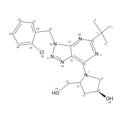 CC(C)(C)c1nc(N2C[C@@H](O)CC2CO)c2nnn(Cc3ccccc3Cl)c2n1